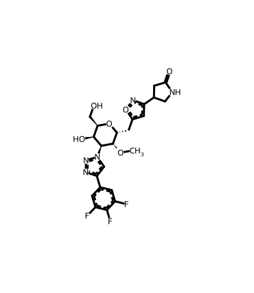 CO[C@@H]1[C@@H](n2cc(-c3cc(F)c(F)c(F)c3)nn2)[C@@H](O)[C@@H](CO)O[C@@H]1Cc1cc(C2CNC(=O)C2)no1